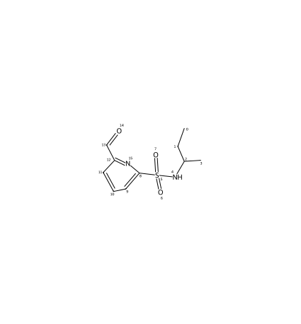 CCC(C)NS(=O)(=O)c1cccc(C=O)n1